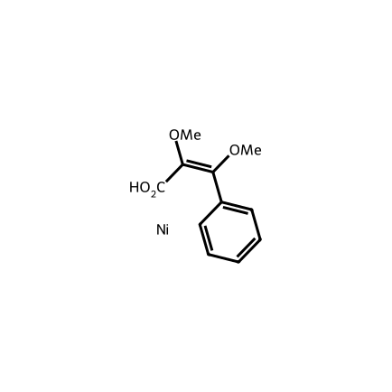 COC(C(=O)O)=C(OC)c1ccccc1.[Ni]